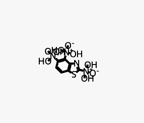 [O-][N+](O)(O)c1nc2c([N+]([O-])(O)O)c([N+]([O-])(O)O)ccc2s1